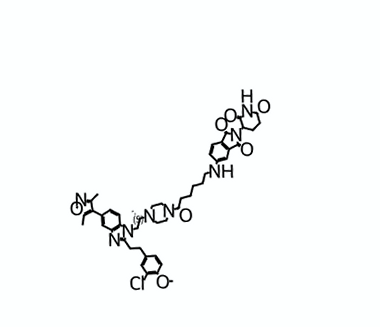 COc1ccc(CCc2nc3cc(-c4c(C)noc4C)ccc3n2C[C@H](C)N2CCN(C(=O)CCCCCNc3ccc4c(c3)C(=O)N(C3CCC(=O)NC3=O)C4=O)CC2)cc1Cl